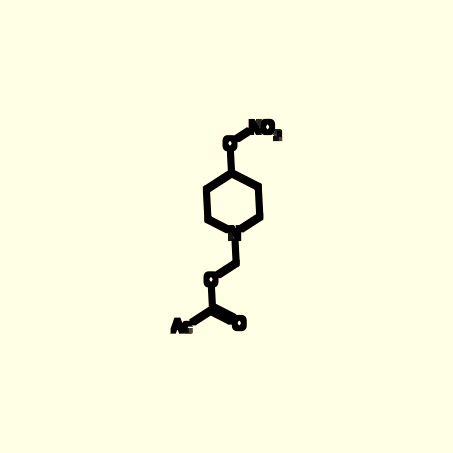 CC(=O)C(=O)OCN1CCC(O[N+](=O)[O-])CC1